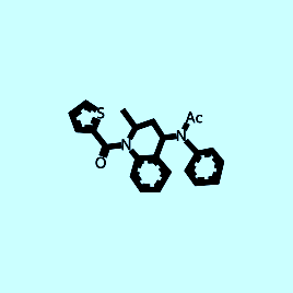 CC(=O)N(c1ccccc1)C1CC(C)N(C(=O)c2cccs2)c2ccccc21